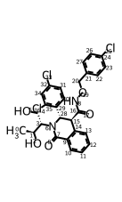 C[C@H](O)[C@H](CO)N1C(=O)c2ccccc2[C@H](C(=O)NOCc2ccc(Cl)cc2)[C@H]1c1ccc(Cl)cc1Cl